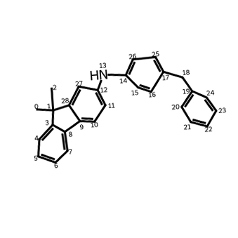 CC1(C)c2ccccc2-c2ccc(Nc3ccc(Cc4ccccc4)cc3)cc21